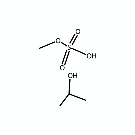 CC(C)O.COS(=O)(=O)O